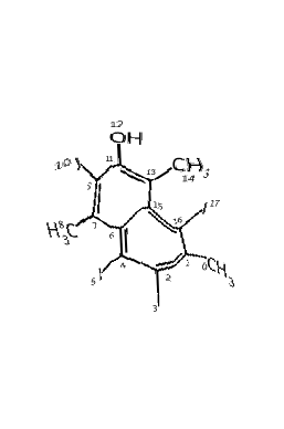 Cc1c(I)c(I)c2c(C)c(I)c(O)c(C)c2c1I